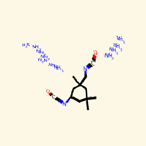 CC1(C)CC(N=C=O)CC(C)(CN=C=O)C1.N.N.N.N.N.N.N.N.N.N.N